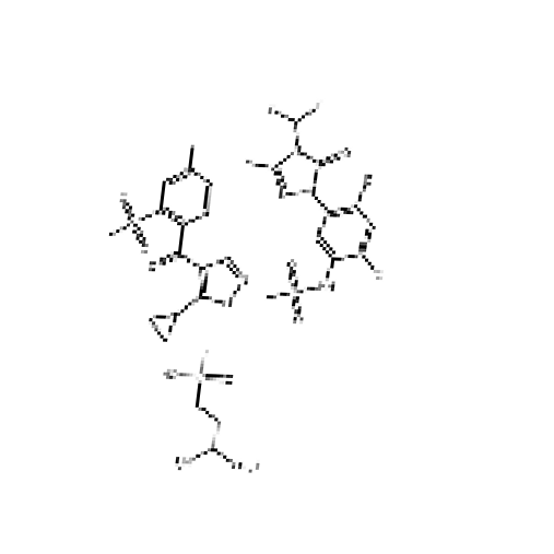 CP(=O)(O)CCC(N)C(=O)O.CS(=O)(=O)c1cc(Cl)ccc1C(=O)c1cnoc1C1CC1.Cc1nn(-c2cc(NS(C)(=O)=O)c(Cl)cc2Cl)c(=O)n1C(F)F